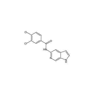 O=C(Nc1cc2cc[nH]c2cn1)c1ccc(Cl)c(Cl)c1